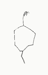 C[C](C)C1CCC(C)CC1